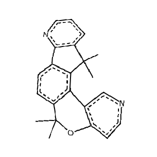 CC1(C)Oc2ccncc2-c2c1ccc1c2C(C)(C)c2cccnc2-1